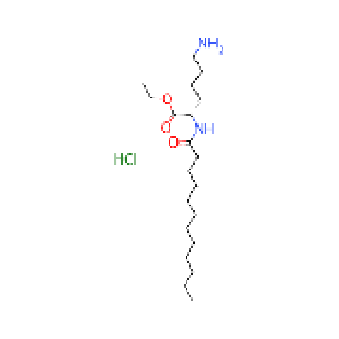 CCCCCCCCCCCC(=O)N[C@@H](CCCCN)C(=O)OCC.Cl